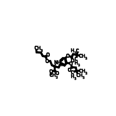 CCCCC(=O)OCC[C@@](N)(Cc1ccc(OC(=O)CC(C)(C)C)c(OC(=O)CC(C)(C)C)c1)C(=O)OC